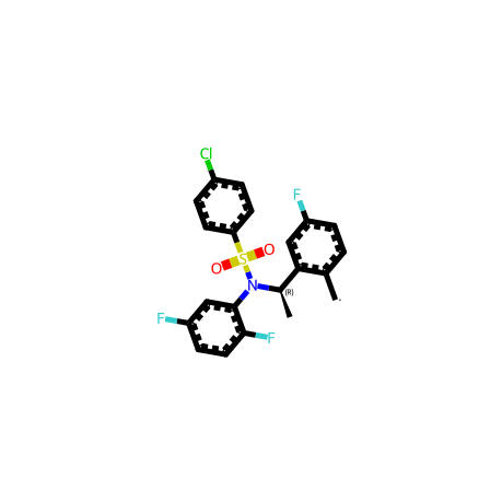 [CH2]c1ccc(F)cc1[C@@H](C)N(c1cc(F)ccc1F)S(=O)(=O)c1ccc(Cl)cc1